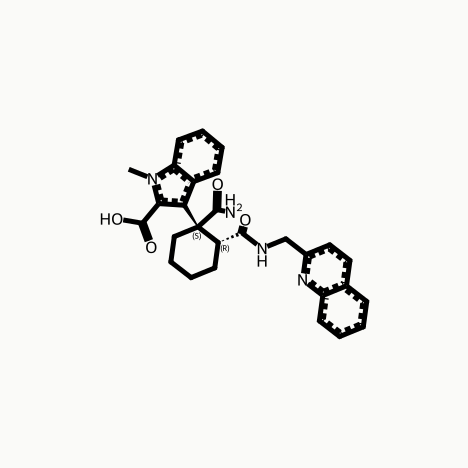 Cn1c(C(=O)O)c([C@]2(C(N)=O)CCCC[C@H]2C(=O)NCc2ccc3ccccc3n2)c2ccccc21